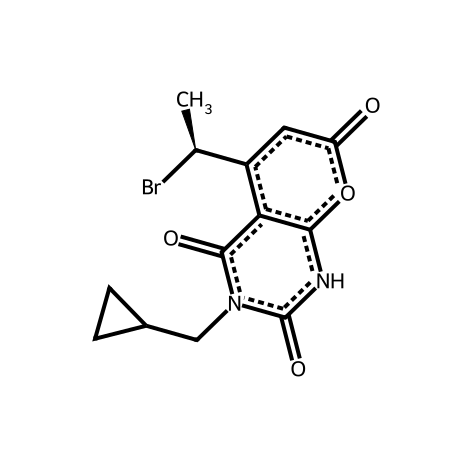 C[C@H](Br)c1cc(=O)oc2[nH]c(=O)n(CC3CC3)c(=O)c12